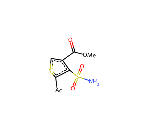 COC(=O)c1csc(C(C)=O)c1S(N)(=O)=O